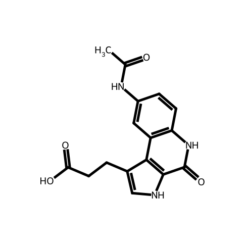 CC(=O)Nc1ccc2[nH]c(=O)c3[nH]cc(CCC(=O)O)c3c2c1